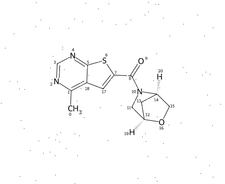 Cc1ncnc2sc(C(=O)N3C[C@H]4C[C@@H]3CO4)cc12